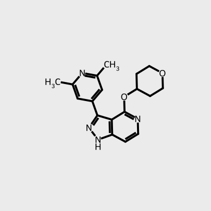 Cc1cc(-c2n[nH]c3ccnc(OC4CCOCC4)c23)cc(C)n1